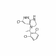 CC(c1c(Cl)cccc1Cl)N1CCNc2nnc(Cl)cc21